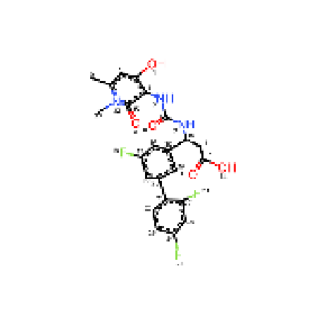 Cc1cc(O)c(NC(=O)N[C@@H](CC(=O)O)c2cc(F)cc(-c3ccc(F)cc3F)c2)c(=O)n1C